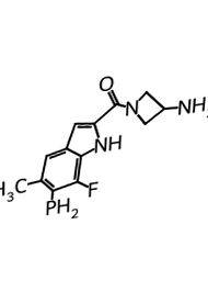 Cc1cc2cc(C(=O)N3CC(N)C3)[nH]c2c(F)c1P